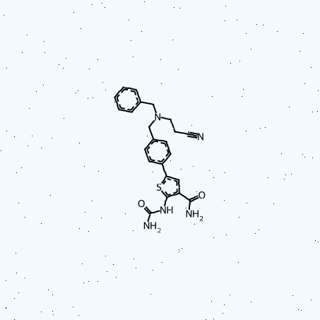 N#CCCN(Cc1ccccc1)Cc1ccc(-c2cc(C(N)=O)c(NC(N)=O)s2)cc1